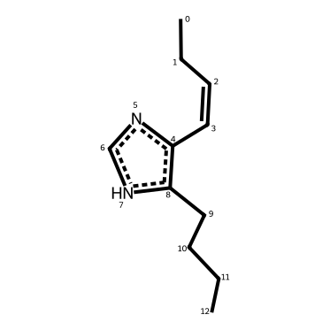 CC/C=C\c1nc[nH]c1CCCC